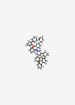 c1ccc(-c2ccc(N(c3ccc(S(c4ccccc4)(c4ccccc4)c4cccc5c4sc4ccccc45)cc3)c3cccc4c3oc3c(-c5ccccc5)cccc34)cc2)cc1